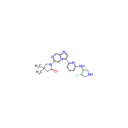 CC1(C)CC(=O)N(c2cn3c(-c4cccc(NC5CNCC5F)n4)cnc3cn2)C1